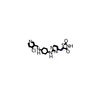 O=C1NC(=O)/C(=C/c2ccnc(NC3CCC(NCc4cnccc4Cl)CC3)n2)S1